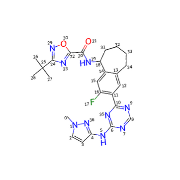 Cn1ccc(Nc2ncnc(-c3cc4c(cc3F)C(NC(=O)c3nc(C(C)(C)C)no3)CCCC4)n2)n1